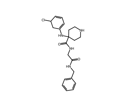 O=C(CNC(=O)C1(NC2=CC=CC(Cl)C2)CCNCC1)NCc1ccccc1